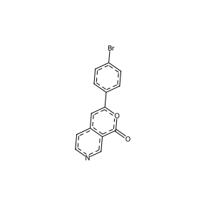 O=c1oc(-c2ccc(Br)cc2)cc2ccncc12